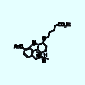 CCOC(=O)CCCCO[C@H]1C=C[C@H]2[C@H]3Cc4ccc(OC(C)=O)c5c4[C@@]2(CCN3C)[C@H]1O5